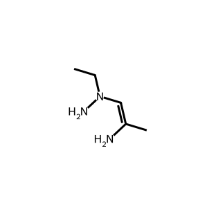 CCN(N)/C=C(/C)N